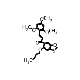 CCCCOc1cc2c(cc1C(=O)C=Cc1c(OC)cc(OC)cc1OC)OCS2